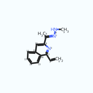 C=Cc1nc(/C(C)=N/NC)cc2ccccc12